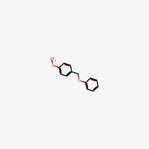 FC(F)(F)Oc1ccc(COc2ccccc2)cc1